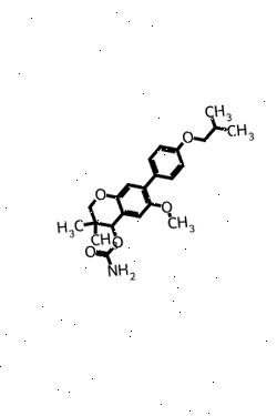 COc1cc2c(cc1-c1ccc(OCC(C)C)cc1)OCC(C)(C)C2OC(N)=O